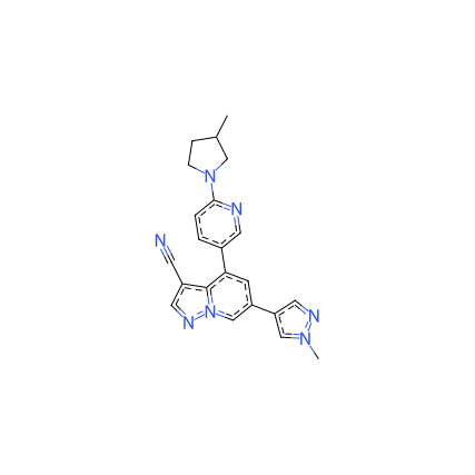 CC1CCN(c2ccc(-c3cc(-c4cnn(C)c4)cn4ncc(C#N)c34)cn2)C1